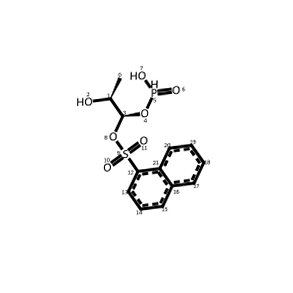 C[C@H](O)[C@@H](O[PH](=O)O)OS(=O)(=O)c1cccc2ccccc12